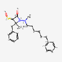 CCOC(=O)C1(Cc2ccccc2)C(=S=O)C(=O)N1N(CCCCCCc1ccccc1)C(C)=O